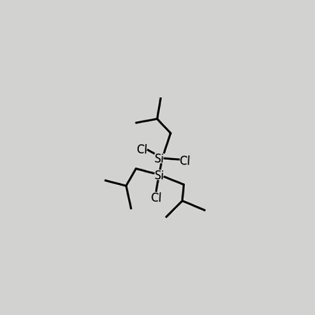 CC(C)C[Si](Cl)(Cl)[Si](Cl)(CC(C)C)CC(C)C